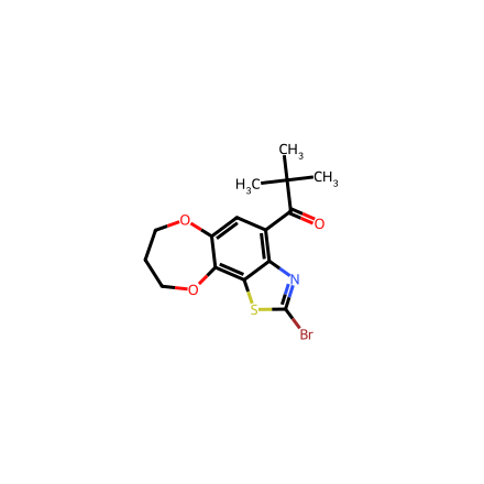 CC(C)(C)C(=O)c1cc2c(c3sc(Br)nc13)OCCCO2